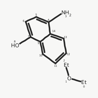 CCOCC.Nc1ccc(O)c2ccccc12